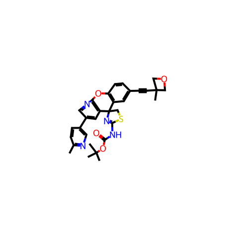 Cc1ccc(-c2cnc3c(c2)C2(CSC(NC(=O)OC(C)(C)C)=N2)c2cc(C#CC4(C)COC4)ccc2O3)cn1